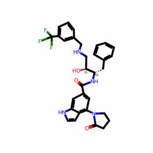 O=C(N[C@@H](Cc1ccccc1)[C@@H](O)CNCc1cccc(C(F)(F)F)c1)c1cc(N2CCCC2=O)c2cc[nH]c2c1